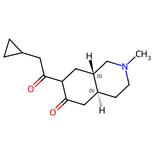 CN1CC[C@H]2CC(=O)C(C(=O)CC3CC3)C[C@@H]2C1